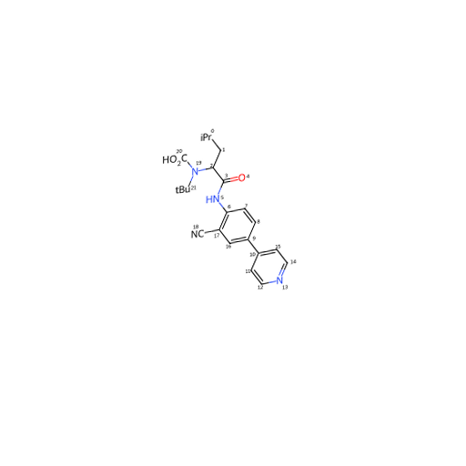 CC(C)CC(C(=O)Nc1ccc(-c2ccncc2)cc1C#N)N(C(=O)O)C(C)(C)C